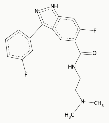 CN(C)CCNC(=O)c1cc2c(-c3cccc(F)c3)n[nH]c2cc1F